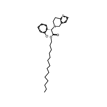 CCCCCCCCCCCCCCOC(=O)[C@H](c1ccccc1Cl)N1CCc2s[c]cc2C1